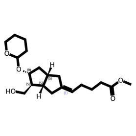 COC(=O)CCC/C=C1\C[C@H]2C[C@@H](OC3CCCCO3)[C@H](CO)[C@H]2C1